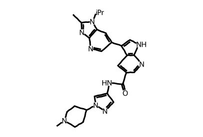 Cc1nc2ncc(-c3c[nH]c4ncc(C(=O)Nc5cnn(C6CCN(C)CC6)c5)cc34)cc2n1C(C)C